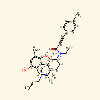 C=CCN1CC[C@]23c4c5c(O)cc(OC(C)=O)c4O[C@H]2[C@@H](N(CC(C)C)C(=O)C#Cc2ccc(C(F)(F)F)cc2)CC[C@H]3[C@H]1C5